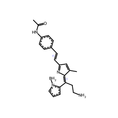 Bn1cccc1/C(CCN)=C1N=C(/C=C/c2ccc(NC(C)=O)cc2)C=C\1C